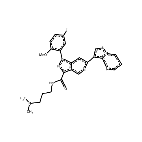 COc1ccc(F)cc1-n1nc(C(=O)NCCCN(C)C)c2cnc(-c3cnn4cccnc34)cc21